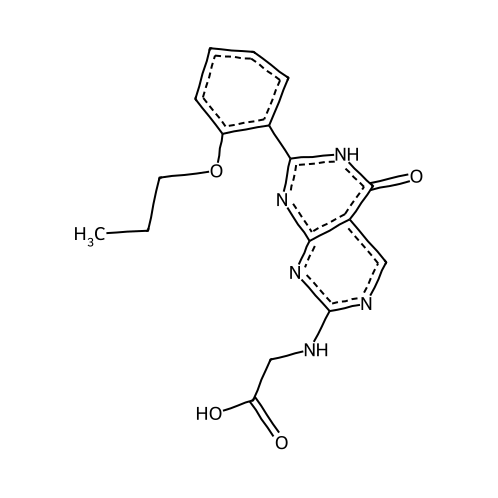 CCCOc1ccccc1-c1nc2nc(NCC(=O)O)ncc2c(=O)[nH]1